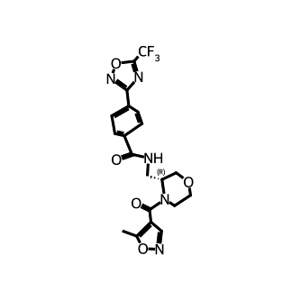 Cc1oncc1C(=O)N1CCOC[C@H]1CNC(=O)c1ccc(-c2noc(C(F)(F)F)n2)cc1